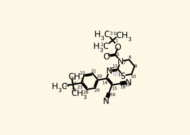 CC(C)(C)OC(=O)N1CCCS/C1=N\C(=C(C#N)C#N)c1ccc(C(C)(C)C)cc1